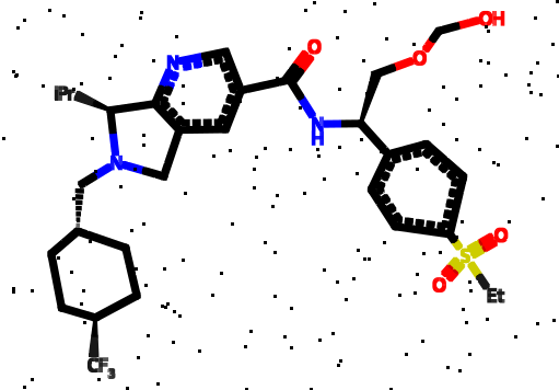 CCS(=O)(=O)c1ccc([C@H](COCO)NC(=O)c2cnc3c(c2)CN(C[C@H]2CC[C@H](C(F)(F)F)CC2)[C@H]3C(C)C)cc1